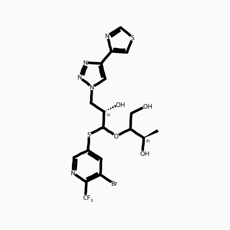 C[C@@H](O)C(CO)OC(Sc1cnc(C(F)(F)F)c(Br)c1)[C@@H](O)Cn1cc(-c2cscn2)nn1